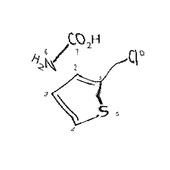 Clc1cccs1.NC(=O)O